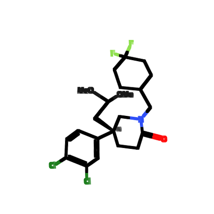 COC(C[C@]1(c2ccc(Cl)c(Cl)c2)CCC(=O)N(CC2CCC(F)(F)CC2)C1)OC